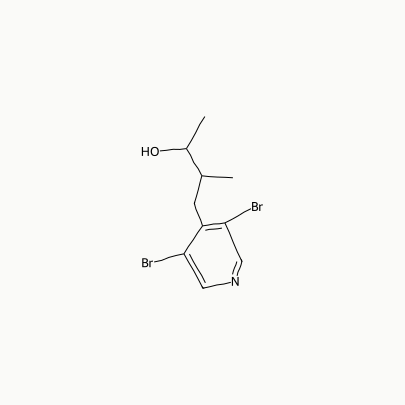 CC(O)C(C)Cc1c(Br)cncc1Br